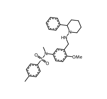 COc1ccc(N(C)S(=O)(=O)c2ccc(C)cc2)cc1CNN1CCCCC1c1ccccc1